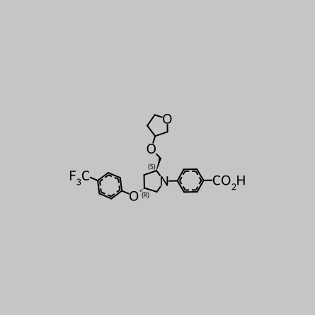 O=C(O)c1ccc(N2C[C@H](Oc3ccc(C(F)(F)F)cc3)C[C@H]2COC2CCOC2)cc1